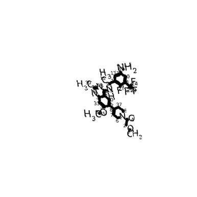 COCC(=O)N1CC=C(c2cc3c(N[C@H](C)c4cc(N)cc(C(F)(F)F)c4F)nc(C)nc3cc2OC)CC1